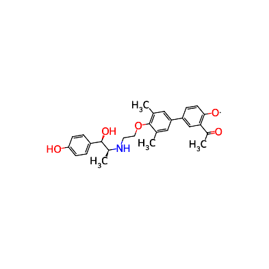 CC(=O)c1cc(-c2cc(C)c(OCCN[C@@H](C)[C@H](O)c3ccc(O)cc3)c(C)c2)ccc1[O]